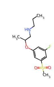 CCCNCC(C)Oc1cc(F)cc(S(C)(=O)=O)c1